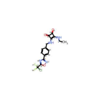 CCNc1c(NCc2ccc(-c3noc(C(F)(F)Cl)n3)cc2)c(=O)c1=O